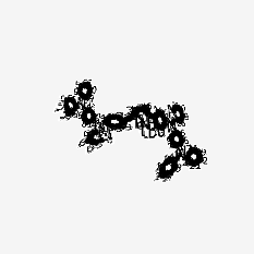 CC(C)(C)n1c(-c2ccc(N(c3ccc(N(c4ccccc4)c4ccccc4)cc3)c3ccccn3)cc2)ccc1-c1ccc(N(c2ccc(N(c3ccccc3)c3ccccc3)cc2)c2ccccn2)cc1